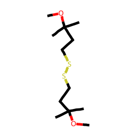 COC(C)(C)CCSSCCC(C)(C)OC